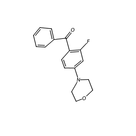 O=C(c1ccccc1)c1ccc(N2CCOCC2)cc1F